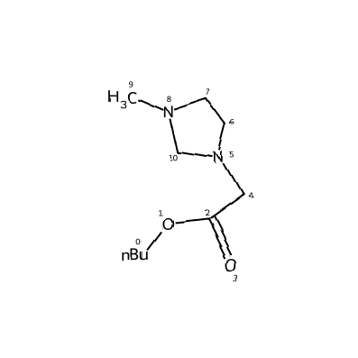 CCCCOC(=O)CN1CCN(C)C1